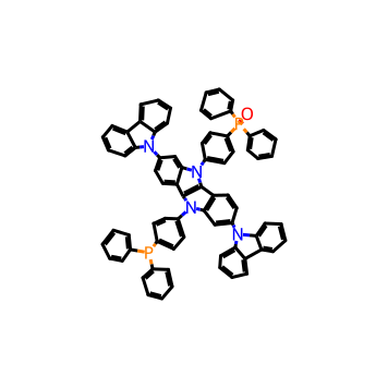 O=P(c1ccccc1)(c1ccccc1)c1ccc(-n2c3cc(-n4c5ccccc5c5ccccc54)ccc3c3c2c2ccc(-n4c5ccccc5c5ccccc54)cc2n3-c2ccc(P(c3ccccc3)c3ccccc3)cc2)cc1